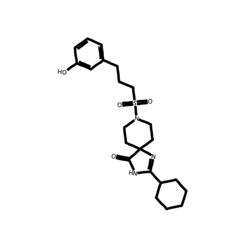 O=C1NC(C2CCCCC2)=NC12CCN(S(=O)(=O)CCCc1cccc(O)c1)CC2